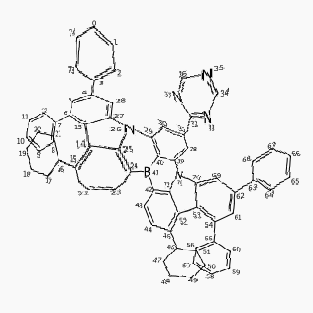 c1ccc(-c2cc(-c3ccccc3)c3c4c(C5CCCCC5)ccc5c4n(c3c2)-c2cc(-c3ncncn3)cc3c2B5c2ccc(C4CCCCC4)c4c5c(-c6ccccc6)cc(-c6ccccc6)cc5n-3c24)cc1